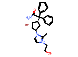 Cc1n([C@H]2CC[C@@H](C(C(N)=O)(c3ccccc3)c3ccccc3)C2)cc[n+]1CCO.[Br-]